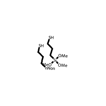 CCCCCCCCCCCCS.CO[Si](CCCS)(OC)OC